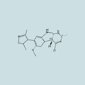 COC1=C(C2C(C)=NOC2C)C=C2NC3N[C@H](C)N=C(Cl)[C@@H]3C2C1